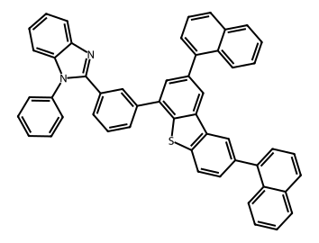 c1ccc(-n2c(-c3cccc(-c4cc(-c5cccc6ccccc56)cc5c4sc4ccc(-c6cccc7ccccc67)cc45)c3)nc3ccccc32)cc1